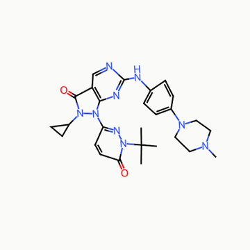 CN1CCN(c2ccc(Nc3ncc4c(=O)n(C5CC5)n(-c5ccc(=O)n(C(C)(C)C)n5)c4n3)cc2)CC1